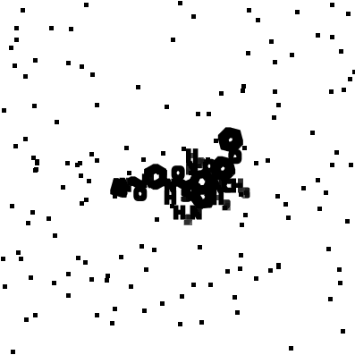 Cc1cc(Oc2ccccc2)ccc1C1(N)C(=O)C(N)c2c(C(=O)NC3CCCN(C(=O)CN4CCC4)C3)sc3c(N)ccc1c23